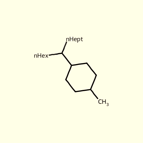 CCCCCCCC(CCCCCC)C1CCC(C)CC1